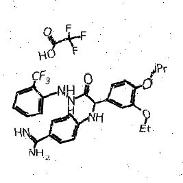 CCOc1cc(C(Nc2ccc(C(=N)N)cc2)C(=O)NNc2ccccc2C(F)(F)F)ccc1OC(C)C.O=C(O)C(F)(F)F